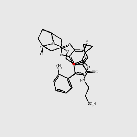 Cc1ccccc1-c1noc(C2CC2)c1COC1CC2CC[C@@H](C1)N2c1nc2c(F)cc(C(=O)NCCS(=O)(=O)O)cc2s1